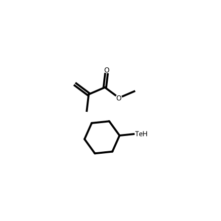 C=C(C)C(=O)OC.[TeH]C1CCCCC1